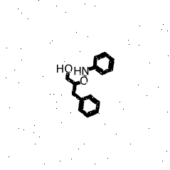 OCC(Cc1ccccc1)ONc1ccccc1